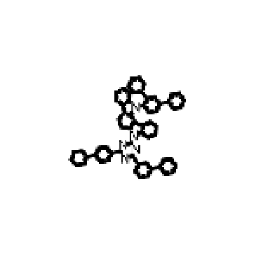 c1ccc(-c2ccc(-c3nc(-c4cccc(-c5ccccc5)c4)nc(-n4c5ccccc5c5c4ccc4c6ccccc6n(-c6ccc(-c7ccccc7)cc6-c6ccccc6)c45)n3)cc2)cc1